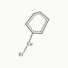 C[CH2][Cu][c]1ccccc1